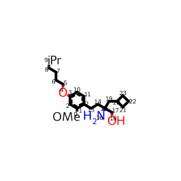 COc1cc(OCCCCC(C)C)ccc1CCC(N)(CO)CC1CCC1